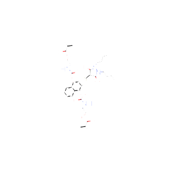 C=C(C)C(=O)OCCNC(=O)Oc1c2c(c(OC(=O)NCCOC(=O)C(=C)C)c3ccccc13)SC(=C1C(=O)N(CCCC)N(CCCC)C1=O)S2